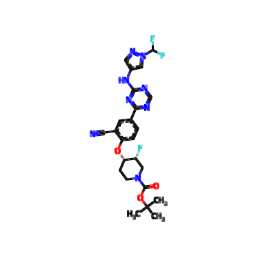 CC(C)(C)OC(=O)N1CC[C@H](Oc2ccc(-c3ncnc(Nc4cnn(C(F)F)c4)n3)cc2C#N)[C@H](F)C1